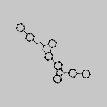 c1ccc(-c2ccc(CCC3Cc4ccc(-c5ccc6c(c5)c5ccccc5n6-c5ccc(-c6ccccc6)cc5)cc4-c4ccccc43)cc2)cc1